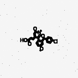 COc1ccc(-c2cn(C)c(=O)cc2C=CC(=O)O)c(C(=O)c2ccc(Cl)cc2)c1